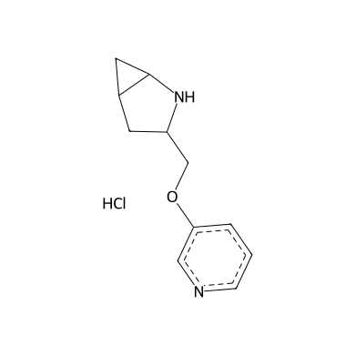 Cl.c1cncc(OCC2CC3CC3N2)c1